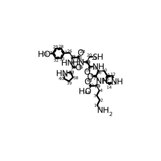 NCCCC[C@H](NC(=O)[C@H](Cc1c[nH]cn1)NC(=O)[C@H](CS)NC(=O)[C@H](Cc1ccc(O)cc1)NC(=O)[C@@H]1CCCN1)C(=O)O